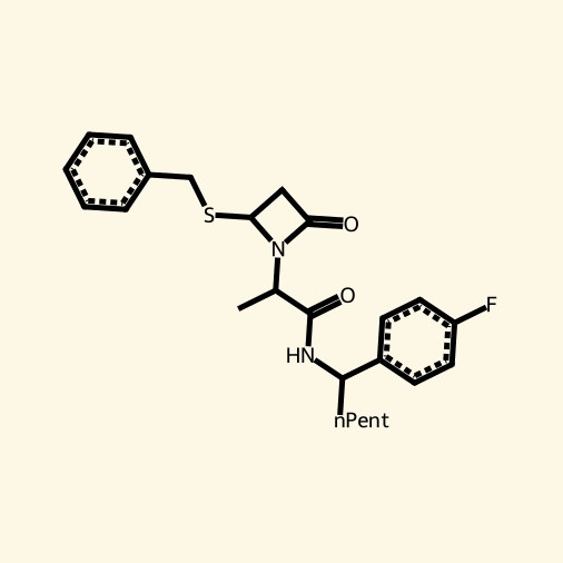 CCCCCC(NC(=O)C(C)N1C(=O)CC1SCc1ccccc1)c1ccc(F)cc1